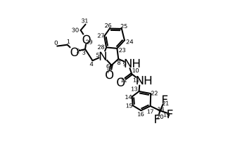 CCOC(CN1C(=O)C(NC(=O)Nc2cccc(C(F)(F)F)c2)c2ccccc21)OCC